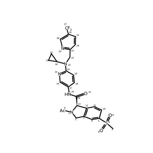 CC(=O)N1Cc2cc(S(C)(=O)=O)ccc2[C@@H]1C(=O)Nc1ccc(N(Cc2ccc(C(F)(F)F)cn2)C2CC2)nc1